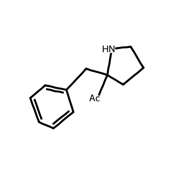 CC(=O)C1(Cc2ccccc2)CCCN1